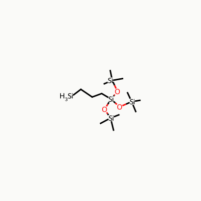 C[Si](C)(C)O[Si](CCC[SiH3])(O[Si](C)(C)C)O[Si](C)(C)C